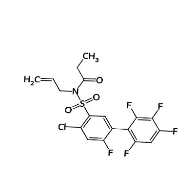 C=CCN(C(=O)CC)S(=O)(=O)c1cc(-c2c(F)cc(F)c(F)c2F)c(F)cc1Cl